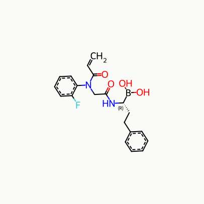 C=CC(=O)N(CC(=O)N[C@@H](CCc1ccccc1)B(O)O)c1ccccc1F